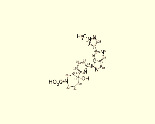 Cn1cc(-c2cc3c(cn2)cnn3-c2cccc(C3(O)CCCN(C(=O)O)CC3)n2)cn1